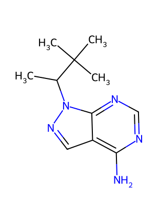 CC(n1ncc2c(N)ncnc21)C(C)(C)C